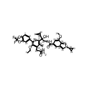 CCOc1c(-c2ccc3c(c2)OC(F)(F)O3)nc([C@@](O)(CNC(=O)c2cc(OC)c3nn(C4CC4)cc3c2)C2CC2)c(F)c1CC(N)=O